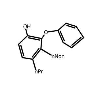 CCCCCCCCCc1c(CCC)ccc(O)c1Oc1ccccc1